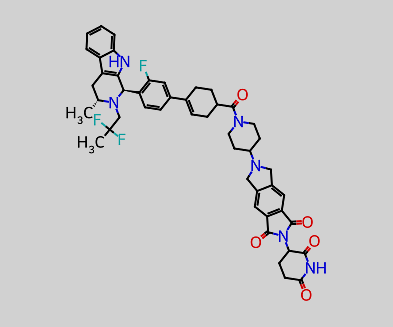 C[C@@H]1Cc2c([nH]c3ccccc23)[C@@H](c2ccc(C3=CCC(C(=O)N4CCC(N5Cc6cc7c(cc6C5)C(=O)N(C5CCC(=O)NC5=O)C7=O)CC4)CC3)cc2F)N1CC(C)(F)F